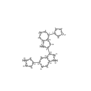 c1cc(-c2cncc3[nH]c(-c4n[nH]c5cnc(-c6cn[nH]c6)cc45)cc23)co1